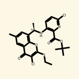 CCSc1oc2c([C@@H](C)Nc3ccc(Cl)nc3C(=O)OC(C)(C)C)cc(C)cc2c(=O)c1Cl